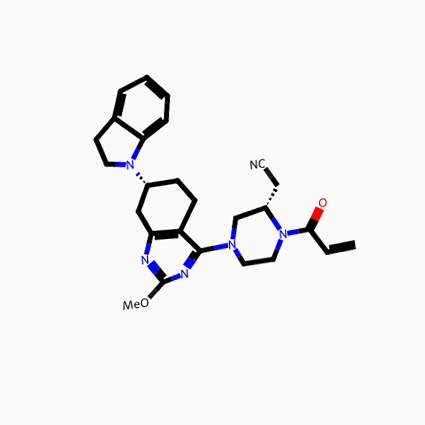 C=CC(=O)N1CCN(c2nc(OC)nc3c2CC[C@@H](N2CCc4ccccc42)C3)C[C@@H]1CC#N